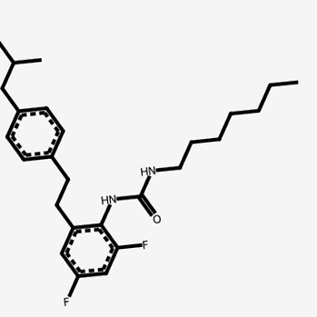 CCCCCCCNC(=O)Nc1c(F)cc(F)cc1CCc1ccc(CC(C)C)cc1